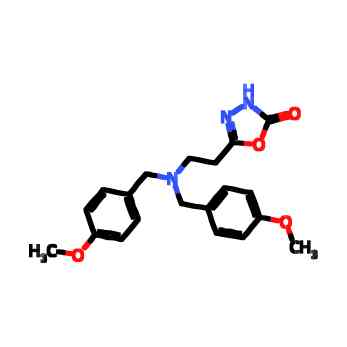 COc1ccc(CN(CCc2n[nH]c(=O)o2)Cc2ccc(OC)cc2)cc1